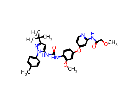 COCC(=O)Nc1cc(Oc2ccc(NC(=O)Nc3cc(C(C)(C)C)nn3-c3ccc(C)cc3)c(OC)c2)ccn1